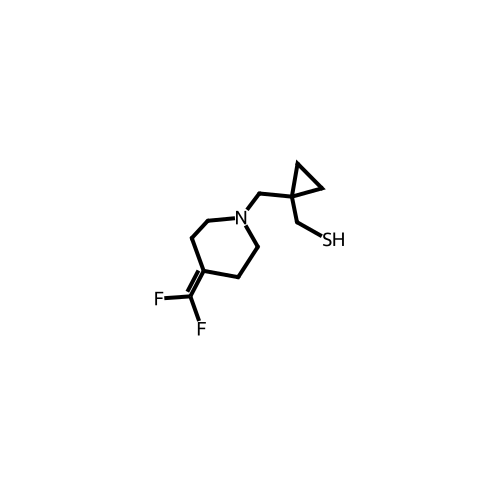 FC(F)=C1CCN(CC2(CS)CC2)CC1